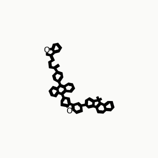 C=C(/C=C\C=C1/COc2ccccc21)c1ccc(-c2c3ccccc3c(-c3ccc4oc5ccc(-c6ccc7c(c6)-c6ccc8ccccc8c6C7(C)C)cc5c4c3)c3ccccc23)cc1